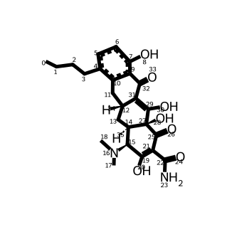 CCCCc1ccc(O)c2c1C[C@H]1C[C@@H]3[C@H](N(C)C)C(O)=C(C(N)=O)C(=O)[C@@]3(O)C(O)=C1C2=O